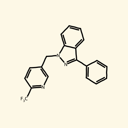 FC(F)(F)c1ccc(Cn2nc(-c3ccccc3)c3ccccc32)cn1